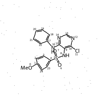 COc1ccc(S(=O)(=O)Nc2c(Cl)ncnc2Nc2ccccc2)cc1